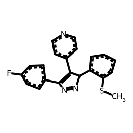 CSc1ccccc1C1N=NC(c2ccc(F)cc2)=C1c1ccncc1